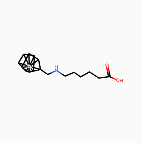 O=C(O)CCCCCNC[C]12[CH]3[CH]4[CH]5[CH]1[Fe]45321678[CH]2[CH]1[CH]6[CH]7[CH]28